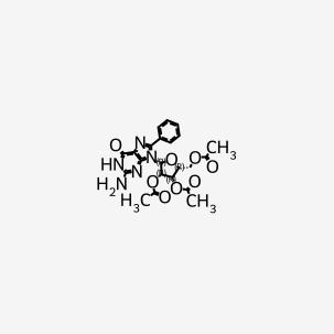 CC(=O)OC[C@H]1O[C@@H](n2c(-c3ccccc3)nc3c(=O)[nH]c(N)nc32)[C@H](OC(C)=O)[C@@H]1OC(C)=O